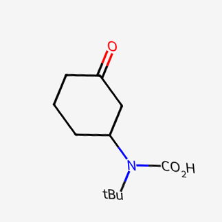 CC(C)(C)N(C(=O)O)C1CCCC(=O)C1